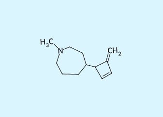 C=C1C=CC1C1CCCN(C)CC1